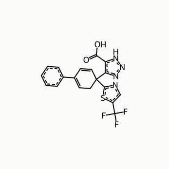 O=C(O)c1[nH]nnc1C1(c2ncc(C(F)(F)F)s2)C=CC(c2ccccc2)=CC1